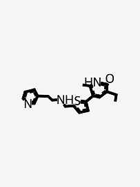 CCc1cc(-c2ccc(CNCCc3cccnc3)s2)c(C)[nH]c1=O